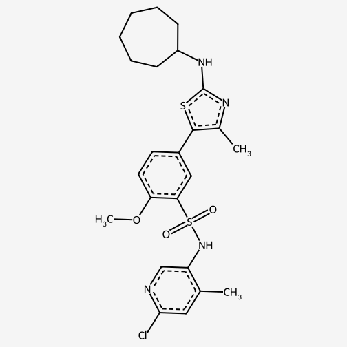 COc1ccc(-c2sc(NC3CCCCCC3)nc2C)cc1S(=O)(=O)Nc1cnc(Cl)cc1C